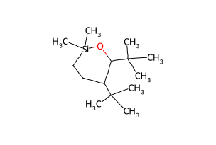 CC(C)(C)C1CC[Si](C)(C)OC1C(C)(C)C